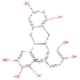 O=C(O)c1ccc(O)c(O)c1C1Cc2c(O)cc(O)cc2O[C@H]1c1cc(O)c(O)c(O)c1